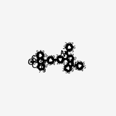 CP(C)(=O)c1c2ccccc2c(-c2ccc(-c3ccc4c(c3)nc(-c3ccccc3)c3ccc5c(c6ccccc6n5-c5ccccc5)c34)cc2)c2ccccc12